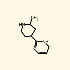 CC1CC(C2=NC=C[CH]N2)CCN1